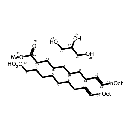 CCCCCCCCC=CCCCCCCCC(=O)O.CCCCCCCCC=CCCCCCCCC(=O)OC.OCC(O)CO